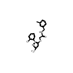 Cc1cccc(CNC(=O)COc2cc(C(F)(F)F)nn2-c2ccccc2Cl)c1